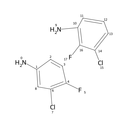 Nc1ccc(F)c(Cl)c1.Nc1cccc(Cl)c1F